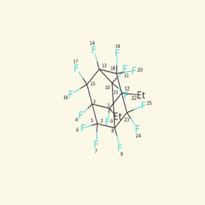 CCC1(F)C2(F)C(F)(F)C3(F)C(F)(F)C(F)(C2(F)F)C(F)(F)C1(CC)C3(F)F